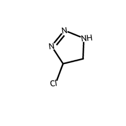 ClC1CNN=N1